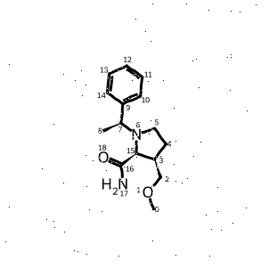 COC[C@@H]1CCN([C@@H](C)c2ccccc2)[C@@H]1C(N)=O